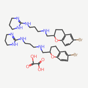 Brc1ccc2c(c1)CCC(CNCCCNC1=NCCCN1)O2.Brc1ccc2c(c1)CCC(CNCCCNC1=NCCCN1)O2.O=C(O)C(=O)O